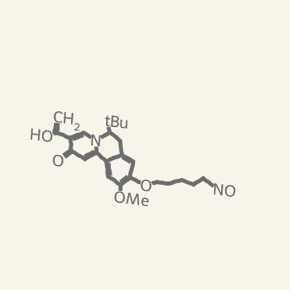 C=C(O)c1cn2c(cc1=O)-c1cc(OC)c(OCCCCCN=O)cc1CC2C(C)(C)C